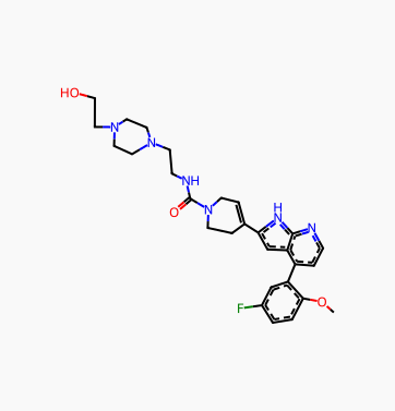 COc1ccc(F)cc1-c1ccnc2[nH]c(C3=CCN(C(=O)NCCN4CCN(CCO)CC4)CC3)cc12